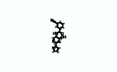 N#Cc1cccc(C(=O)Nc2cnc(-n3cccn3)nc2O)c1